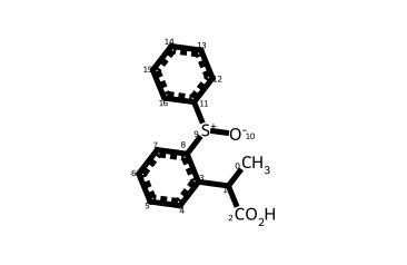 CC(C(=O)O)c1ccccc1[S+]([O-])c1ccccc1